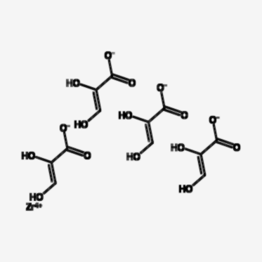 O=C([O-])C(O)=CO.O=C([O-])C(O)=CO.O=C([O-])C(O)=CO.O=C([O-])C(O)=CO.[Zr+4]